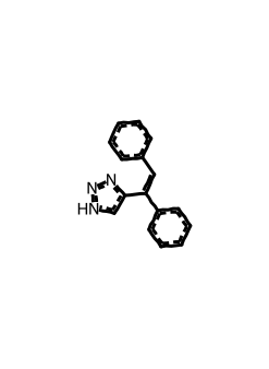 C(=C(c1ccccc1)c1c[nH]nn1)c1ccccc1